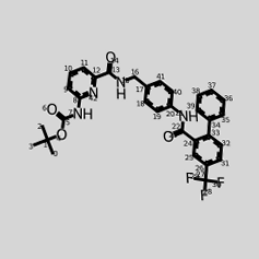 CC(C)(C)OC(=O)Nc1cccc(C(=O)NCc2ccc(NC(=O)c3cc(C(F)(F)F)ccc3-c3ccccc3)cc2)n1